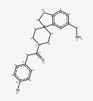 NCc1ccc2c(c1)C1(CCN(C(=O)Cc3ccc(Br)cc3)CC1)CO2